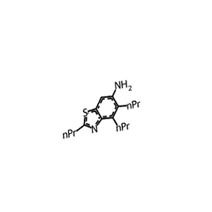 CCCc1nc2c(CCC)c(CCC)c(N)cc2s1